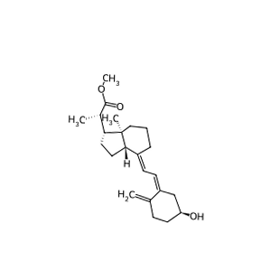 C=C1CC[C@H](O)C/C1=C/C=C1\CCC[C@]2(C)[C@@H]([C@H](C)C(=O)OC)CC[C@@H]12